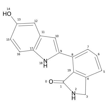 O=C1NCc2cccc(-c3cc4cc(O)ccc4[nH]3)c21